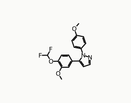 COc1ccc(-n2nccc2-c2ccc(OC(F)F)c(OC)c2)cc1